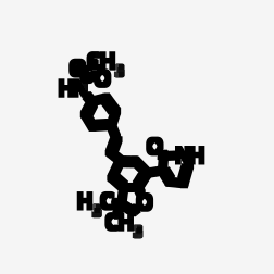 CC1(C)COc2c(-c3ccc[nH]c3=O)cc(C=Cc3ccc(NS(C)(=O)=O)cc3)cc21